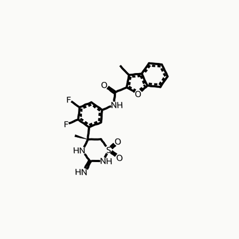 Cc1c(C(=O)Nc2cc(F)c(F)c([C@]3(C)CS(=O)(=O)NC(=N)N3)c2)oc2ccccc12